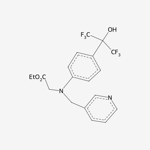 CCOC(=O)CN(Cc1cccnc1)c1ccc(C(O)(C(F)(F)F)C(F)(F)F)cc1